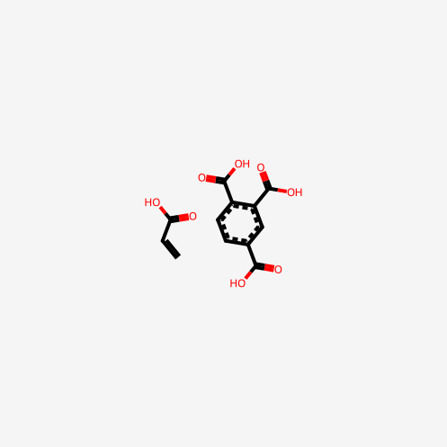 C=CC(=O)O.O=C(O)c1ccc(C(=O)O)c(C(=O)O)c1